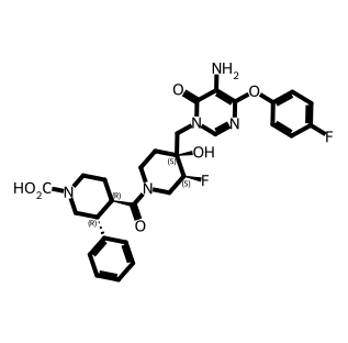 Nc1c(Oc2ccc(F)cc2)ncn(C[C@@]2(O)CCN(C(=O)[C@@H]3CCN(C(=O)O)C[C@H]3c3ccccc3)C[C@@H]2F)c1=O